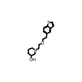 OC1CCCN(CCOCCc2ccc3sccc3c2)C1